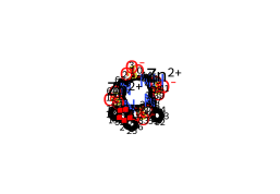 O=S(=O)([O-])c1c2nc(c(S(=O)(=O)[O-])c3c(-c4ccccc4)c(-c4ccccc4)c(c(S(=O)(=O)[O-])c4nc(c(S(=O)(=O)[O-])c5ccc1[nH]5)C=C4c1ccccc1)n3-c1ccccc1)C=C2.[Zn+2].[Zn+2]